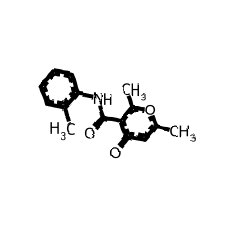 Cc1cc(=O)c(C(=O)Nc2ccccc2C)c(C)o1